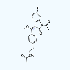 CO/C(=C1/C(=O)N(C(C)=O)c2cc(F)ccc21)c1ccc(CCNC(C)=O)cc1